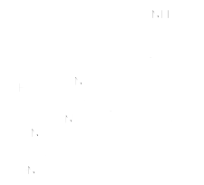 N=COC1=CC=CCC1COc1ncc(F)c(NCN=O)n1